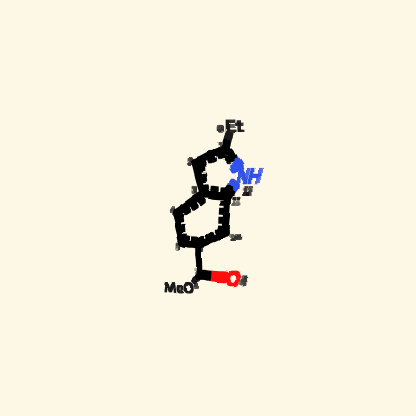 CCc1cc2ccc(C(=O)OC)cc2[nH]1